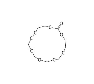 O=C1CCCCCCCCOCCCCCCO1